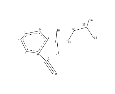 C#Cc1ccccc1C(C)(C)CCC(C)C